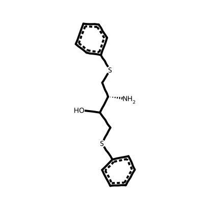 N[C@@H](CSc1ccccc1)C(O)CSc1ccccc1